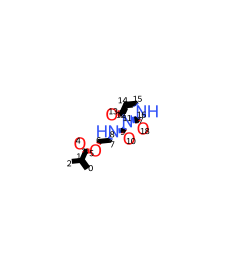 C=C(C)C(=O)OCCNC(=O)n1c(=O)cc[nH]c1=O